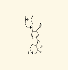 C[C@H]1CN(c2ccc(OC3CCNCC3(F)F)cc2C#N)CCN1C